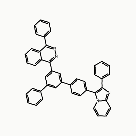 c1ccc(-c2cc(-c3ccc(-c4c(-c5ccccc5)nc5ccccn45)cc3)cc(-c3nnc(-c4ccccc4)c4ccccc34)c2)cc1